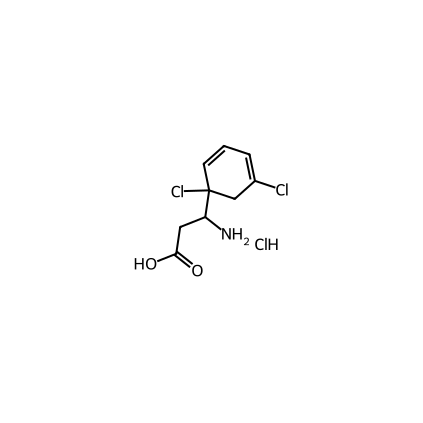 Cl.NC(CC(=O)O)C1(Cl)C=CC=C(Cl)C1